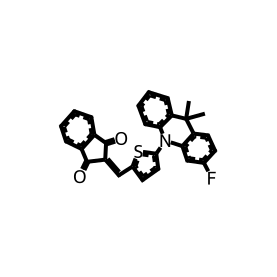 CC1(C)c2ccccc2N(c2ccc(C=C3C(=O)c4ccccc4C3=O)s2)c2cc(F)ccc21